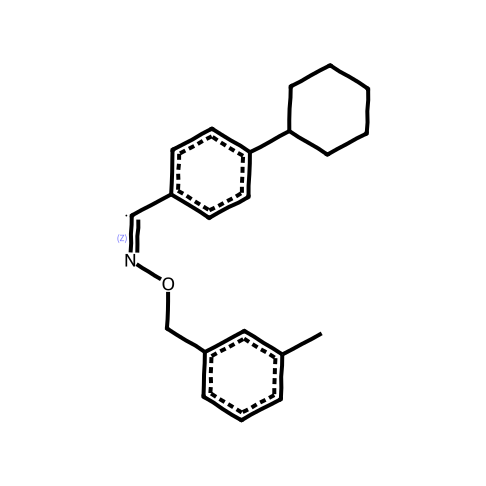 Cc1cccc(CO/N=[C]\c2ccc(C3CCCCC3)cc2)c1